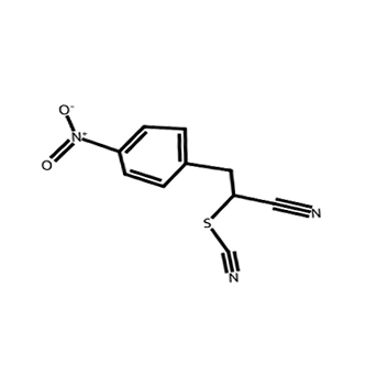 N#CSC(C#N)Cc1ccc([N+](=O)[O-])cc1